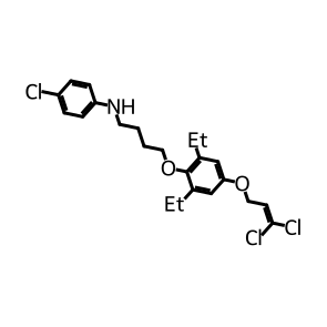 CCc1cc(OCC=C(Cl)Cl)cc(CC)c1OCCCCNc1ccc(Cl)cc1